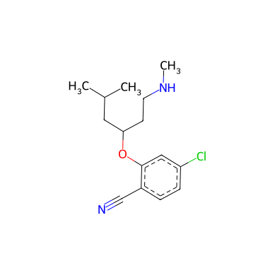 CNCCC(CC(C)C)Oc1cc(Cl)ccc1C#N